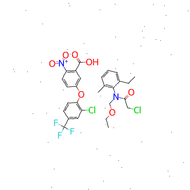 CCOCN(C(=O)CCl)c1c(C)cccc1CC.O=C(O)c1cc(Oc2ccc(C(F)(F)F)cc2Cl)ccc1[N+](=O)[O-]